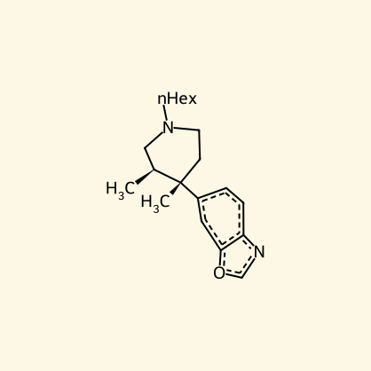 CCCCCCN1CC[C@](C)(c2ccc3ncoc3c2)[C@@H](C)C1